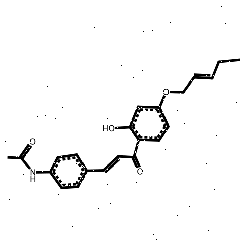 CCC=CCOc1ccc(C(=O)C=Cc2ccc(NC(C)=O)cc2)c(O)c1